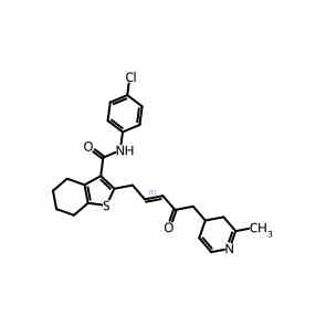 CC1=NC=CC(CC(=O)/C=C/Cc2sc3c(c2C(=O)Nc2ccc(Cl)cc2)CCCC3)C1